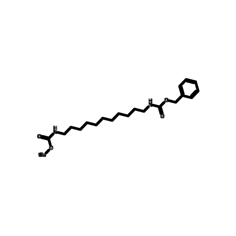 CC(C)(C)OC(=O)NCCCCCCCCCCCNC(=O)OCc1ccccc1